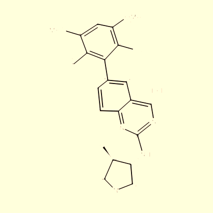 COc1cc(OC)c(Cl)c(-c2ccc3nc(N[C@@H]4CNC[C@H]4C)ncc3c2)c1Cl.Cl